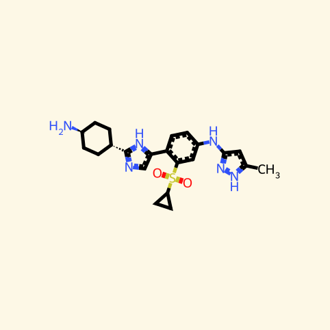 Cc1cc(Nc2ccc(-c3cnc([C@H]4CC[C@H](N)CC4)[nH]3)c(S(=O)(=O)C3CC3)c2)n[nH]1